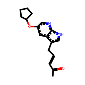 CC(=O)C=CCc1c[nH]c2ncc(OC3CCCC3)cc12